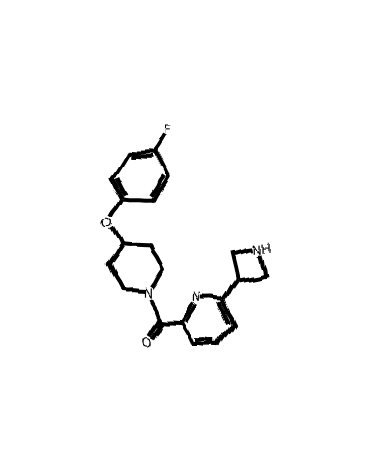 O=C(c1cccc(C2CNC2)n1)N1CCC(Oc2ccc(F)cc2)CC1